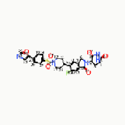 O=C1CCC(N2Cc3cc(C4CCN(S(=O)(=O)c5ccc(-c6cnco6)cc5)CC4)c(F)cc3C2=O)C(=O)N1